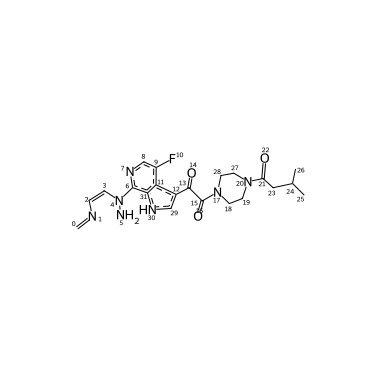 C=N/C=C\N(N)c1ncc(F)c2c(C(=O)C(=O)N3CCN(C(=O)CC(C)C)CC3)c[nH]c12